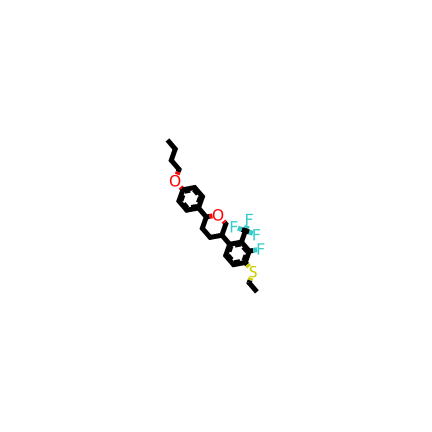 CCCCOc1ccc(C2CCC(c3ccc(SCC)c(F)c3C(F)(F)F)CO2)cc1